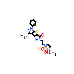 Cc1nn(-c2ccccc2)c2sc(C(=O)NCCN3CCN(C)S3(O)O)cc12